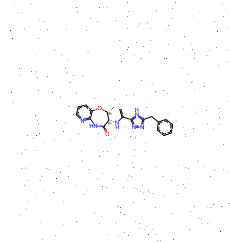 C=C(N[C@@H]1C(=O)Nc2ncccc2O[C@@H]1C)c1nnc(Cc2ccccc2)[nH]1